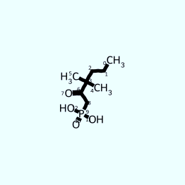 CCCC(C)(C)C(=O)CP(=O)(O)O